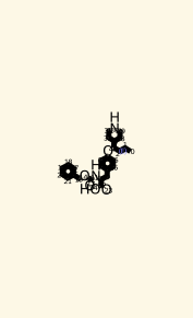 C/C=C/C(Oc1ccc(CC(NC(=O)OCc2ccccc2)C(=O)O)cc1)C1CCNCC1